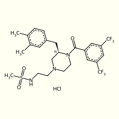 Cc1ccc(C[C@@H]2CN(CCNS(C)(=O)=O)CCN2C(=O)c2cc(C(F)(F)F)cc(C(F)(F)F)c2)cc1C.Cl